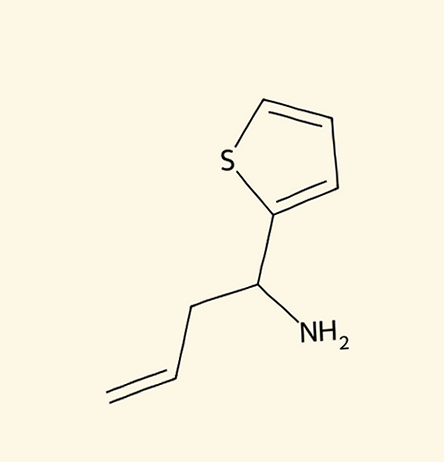 C=CCC(N)c1cccs1